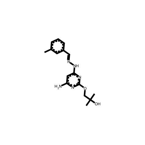 Cc1cccc(C=NNc2cc(N)nc(OCC(C)(C)O)n2)c1